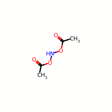 CC(=O)ONOC(C)=O